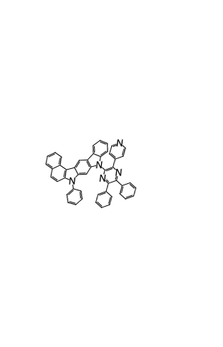 c1ccc(-c2nc(-c3ccncc3)c(-n3c4ccccc4c4cc5c6c7ccccc7ccc6n(-c6ccccc6)c5cc43)nc2-c2ccccc2)cc1